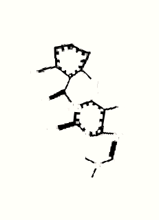 CN(C)/C=N\c1nc(=O)n(C(=O)c2c(Cl)cccc2Cl)cc1F